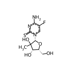 CC1(O)[C@@H](O)[C@@H](CO)O[C@H]1n1cc(F)c(N)nc1=S